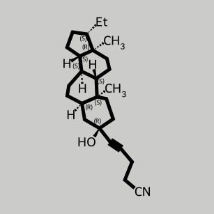 CC[C@H]1CC[C@H]2[C@@H]3CC[C@@H]4C[C@@](O)(C#CCCC#N)CC[C@]4(C)[C@H]3CC[C@]12C